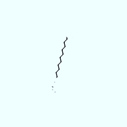 O=S(=O)(O)CCCCCCCCCCCOOOO